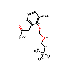 CNC(=O)Cc1cccc(OC)c1OCOCC[Si](C)(C)C